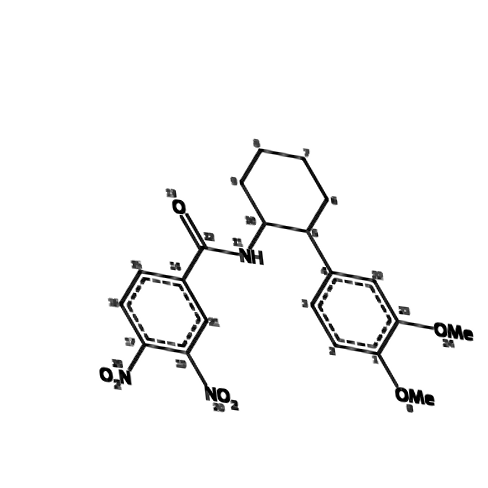 COc1ccc(C2CCCCC2NC(=O)c2ccc([N+](=O)[O-])c([N+](=O)[O-])c2)cc1OC